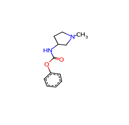 CN1CCC(NC(=O)Oc2ccccc2)C1